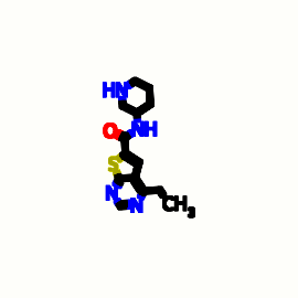 CCc1ncnc2sc(C(=O)NC3CCCNC3)cc12